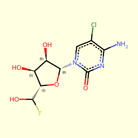 Nc1nc(=O)n([C@@H]2O[C@H](C(O)F)[C@@H](O)[C@H]2O)cc1Cl